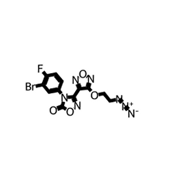 [N-]=[N+]=NCCOc1nonc1-c1noc(=O)n1-c1ccc(F)c(Br)c1